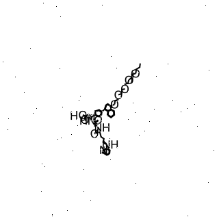 CCCOCCOCCOCCOCCOc1ccc(-c2ccc([C@H](CC(=O)O)NC(=O)CNC(=O)CCCCNc3ccccn3)cc2)c2ccccc12